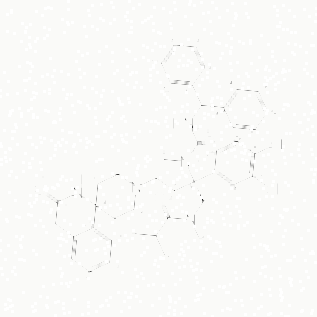 CC(C)C(=O)N(C)C[C@](CCN1CCC2(CC1)NC(=O)Cc1ccccc12)(c1ccc(Cl)c(Cl)c1)N(C)C(=O)NC(c1ccccc1)c1ccccc1